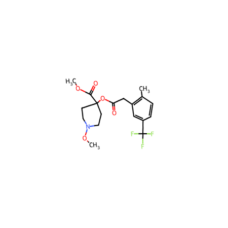 COC(=O)C1(OC(=O)Cc2cc(C(F)(F)F)ccc2C)CCN(OC)CC1